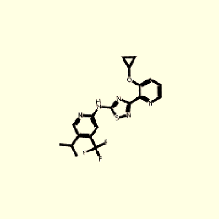 CC(C)c1cnc(Nc2nc(-c3ncccc3OC3CC3)ns2)cc1C(F)(F)F